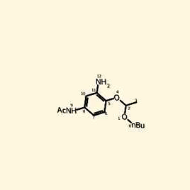 CCCCOC(C)Oc1ccc(NC(C)=O)cc1N